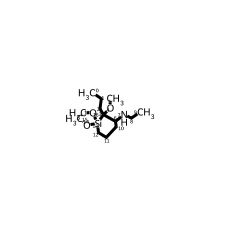 CCCC1(OC)C(NCC)CCC[Si]1(OC)OC